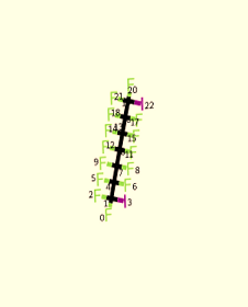 FC(F)(I)C(F)(F)C(F)(F)C(F)(F)C(F)(F)C(F)(F)C(F)(F)I